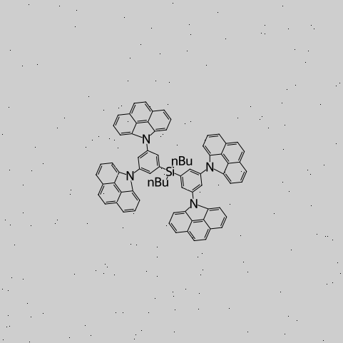 CCCC[Si](CCCC)(c1cc(-n2c3cccc4ccc5cccc2c5c43)cc(-n2c3cccc4ccc5cccc2c5c43)c1)c1cc(-n2c3cccc4ccc5cccc2c5c43)cc(-n2c3cccc4ccc5cccc2c5c43)c1